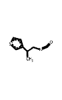 CC(CN=C=O)c1ccsc1